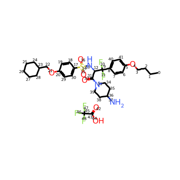 CCCCOc1ccc(C(F)(F)[C@H](NS(=O)(=O)c2ccc(OCC3CCCCC3)cc2)C(=O)N2CCC(N)CC2)cc1.O=C(O)C(F)(F)F